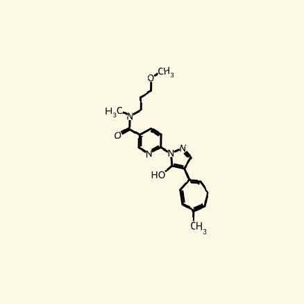 COCCCN(C)C(=O)c1ccc(-n2ncc(C3=CCC=C(C)C=C3)c2O)nc1